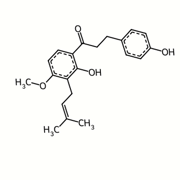 COc1ccc(C(=O)CCc2ccc(O)cc2)c(O)c1CC=C(C)C